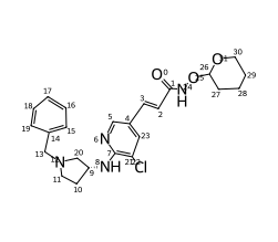 O=C(/C=C/c1cnc(N[C@@H]2CCN(Cc3ccccc3)C2)c(Cl)c1)NOC1CCCCO1